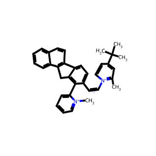 Cc1cc(C(C)(C)C)cc[n+]1/C=C\c1ccc2c(c1-c1cccc[n+]1C)Cc1c-2ccc2ccccc12